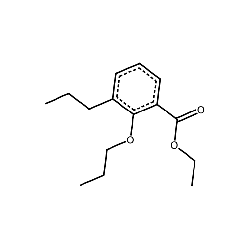 CCCOc1c(CCC)cccc1C(=O)OCC